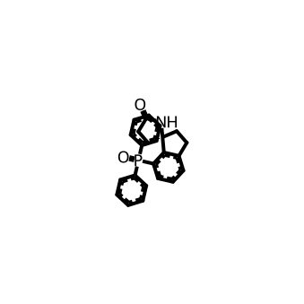 O=C1CC[C@@]2(CCc3cccc(P(=O)(c4ccccc4)c4ccccc4)c32)N1